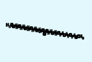 COCCOCCOCCOCCOCCOC(=O)OCCOCCOCCOCCOCCOC